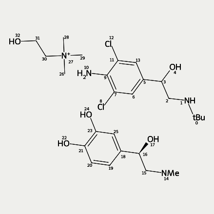 CC(C)(C)NCC(O)c1cc(Cl)c(N)c(Cl)c1.CNC[C@H](O)c1ccc(O)c(O)c1.C[N+](C)(C)CCO